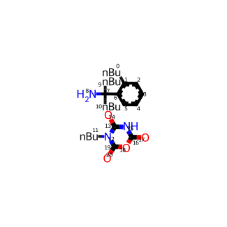 CCCCc1ccccc1C(N)(CCCC)CCCC.CCCCn1c(=O)[nH]c(=O)oc1=O